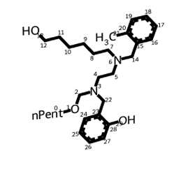 CCCCCOCN(CCN(CCCCCCO)Cc1ccccc1C)Cc1ccccc1O